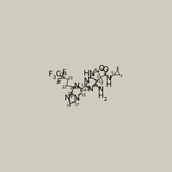 CC1(C(=O)NC2CC2)C(=O)Nc2nc(-c3cn4ccnc4c(CCC(F)(F)C(F)(F)F)n3)nc(N)c21